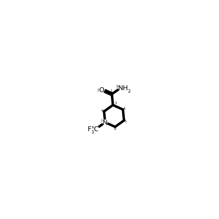 NC(=O)C1CCCN(C(F)(F)F)C1